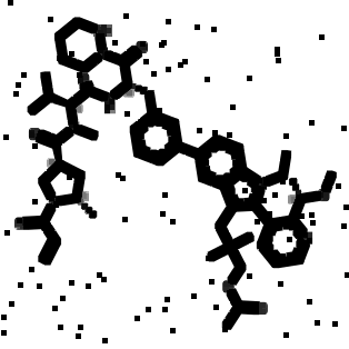 C=CC(=O)N1C[C@@H](C(=O)N(C)[C@H](C(=O)N[C@@H](Cc2cccc(-c3ccc4c(c3)c(CC(C)(C)COC(C)=O)c(-c3cccnc3[C@H](C)OC)n4CC)c2)C(=O)N2CCCCN2)C(C)C)C[C@@H]1C